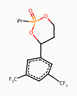 CC(C)P1(=O)OCCC(c2cc(C(F)(F)F)cc(C(F)(F)F)c2)O1